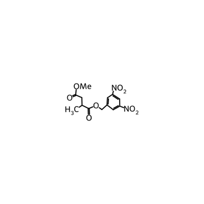 COC(=O)CC(C)C(=O)OCc1cc([N+](=O)[O-])cc([N+](=O)[O-])c1